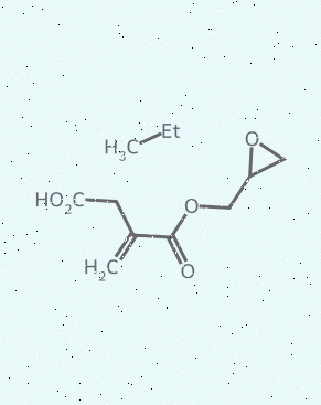 C=C(CC(=O)O)C(=O)OCC1CO1.CCC